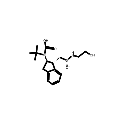 CC(C)(C)N(C(=O)O)[C@@H]1Cc2ccccc2[C@H]1C[S@@+]([O-])NCCO